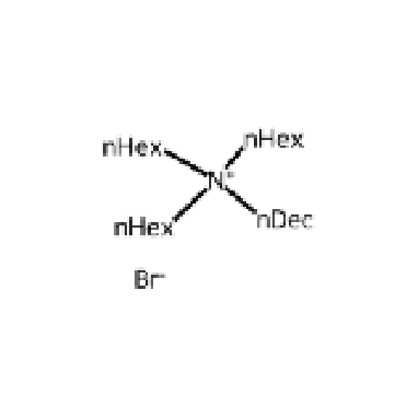 CCCCCCCCCC[N+](CCCCCC)(CCCCCC)CCCCCC.[Br-]